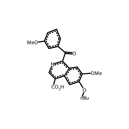 CCCCOc1cc2c(C(=O)O)cnc(C(=O)c3cccc(OC)c3)c2cc1OC